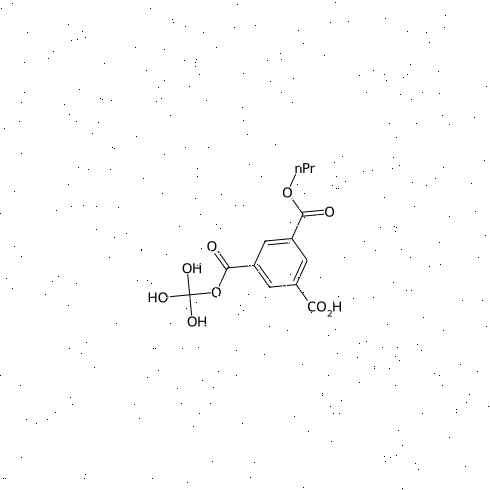 CCCOC(=O)c1cc(C(=O)O)cc(C(=O)OC(O)(O)O)c1